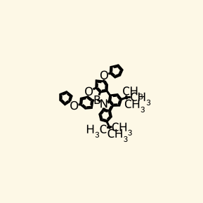 CC(C)(C)c1ccc2c(c1)c1cc(C(C)(C)C)cc3c1n2B1c2ccc(Oc4ccccc4)cc2Oc2cc(Oc4ccccc4)cc-3c21